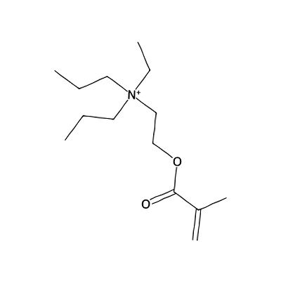 C=C(C)C(=O)OCC[N+](CC)(CCC)CCC